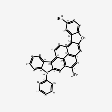 CC(C)c1cc2cc3oc4ccc(C(C)(C)C)cc4c3c3ccc4c(c1cc1c4c4ccccc4n1-c1ccccc1)c23